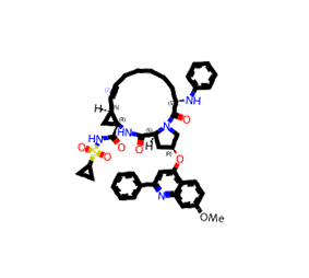 COc1ccc2c(O[C@@H]3C[C@H]4C(=O)N[C@]5(C(=O)NS(=O)(=O)C6CC6)C[C@H]5/C=C\CCCCC[C@H](Nc5ccccc5)C(=O)N4C3)cc(-c3ccccc3)nc2c1